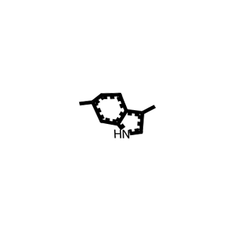 Cc1ccc2c(C)c[nH]c2c1